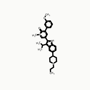 CCCN1CCC(c2ccc3[nH]c(-c4cc(-c5cccc(OC)c5)c(=O)n(C)c4)c(C(C)C)c3c2)CC1